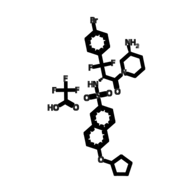 N[C@H]1CCCN(C(=O)[C@H](NS(=O)(=O)c2ccc3cc(OC4CCCC4)ccc3c2)C(F)(F)c2ccc(Br)cc2)C1.O=C(O)C(F)(F)F